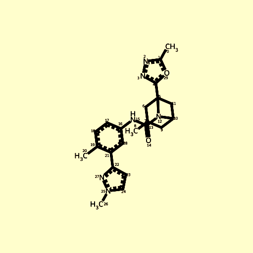 Cc1nnc(C23CC(C)CC(C2)N3C(=O)Nc2ccc(C)c(-c3ccn(C)n3)c2)o1